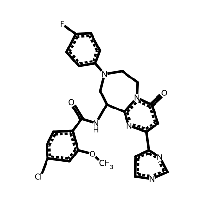 COc1cc(Cl)ccc1C(=O)NC1CN(c2ccc(F)cc2)CCn2c1nc(-c1ccncn1)cc2=O